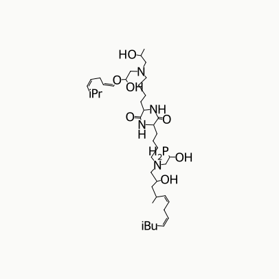 CCC(C)/C=C\C/C=C\C(C)CC(O)CN(CCCCC1NC(=O)C(CCCCN(CC(C)O)CC(O)O/C=C\C/C=C\C(C)C)NC1=O)CC(O)P